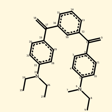 C=C(c1ccc(N(C)CC)cc1)c1cccc(C(=C)c2ccc(N(CC)CC)cc2)c1